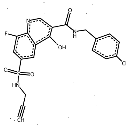 C#CCNS(=O)(=O)c1cc(F)c2ncc(C(=O)NCc3ccc(Cl)cc3)c(O)c2c1